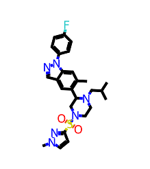 Cc1cc2c(cnn2-c2ccc(F)cc2)cc1C1CN(S(=O)(=O)c2ccn(C)n2)CCN1CC(C)C